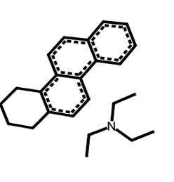 CCN(CC)CC.c1ccc2c(c1)ccc1c3c(ccc12)CCCC3